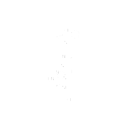 CC[C@H]1CN(c2nc(N)c(C(=O)NCCO)nc2Cl)CCN1C1CCN(C(C(=O)O)c2ccc(C)cc2)CC1